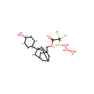 O=C(OCC12CC3CC(C1)CC(C1CCC(O)CC1)(C3)C2)C(F)(F)SOOO